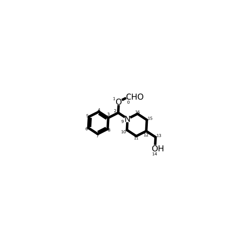 O=COC(c1ccccc1)N1CCC(CO)CC1